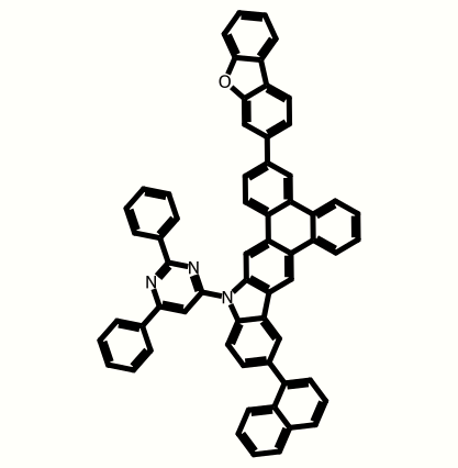 c1ccc(-c2cc(-n3c4ccc(-c5cccc6ccccc56)cc4c4cc5c6ccccc6c6cc(-c7ccc8c(c7)oc7ccccc78)ccc6c5cc43)nc(-c3ccccc3)n2)cc1